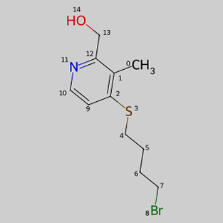 Cc1c(SCCCCBr)ccnc1CO